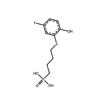 O=P(O)(O)CCCCSc1cc(F)ccc1O